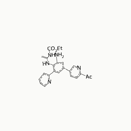 C=C(NC(=O)OCC)Nc1c(N)cc(-c2ccc(C(C)=O)nc2)cc1-c1ccccn1